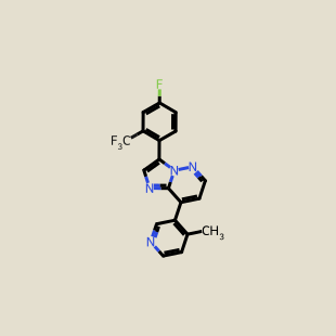 Cc1ccncc1-c1ccnn2c(-c3ccc(F)cc3C(F)(F)F)cnc12